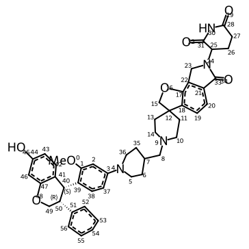 COc1cc(N2CCC(CN3CCC4(CC3)COc3c4ccc4c3CN(C3CCC(=O)NC3=O)C4=O)CC2)ccc1[C@H]1c2ccc(O)cc2OC[C@H]1c1ccccc1